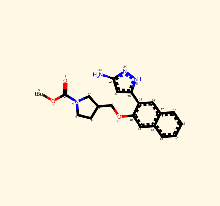 CC(C)(C)OC(=O)N1CCC(COc2cc3ccccc3cc2-c2cc(N)n[nH]2)C1